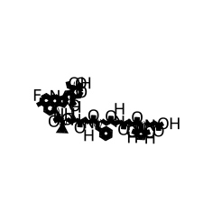 CC[C@@]1(O)C(=O)OCc2c1cc1n(c2=O)Cc2c-1nc1cc(F)c(C)c3c1c2[C@@H](NC(=O)[C@@H](OCNC(=O)CNC(=O)[C@@H](CCC(=O)CNC(=O)CNC(=O)[C@H](CNCC(=O)O)N1C(=O)C=CC1=O)Cc1ccccc1)C1CC1)CC3